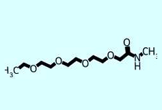 CCOCCOCCOCCOCC(=O)NC